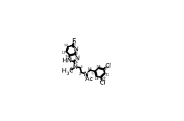 CC(=O)N(CCN(C)c1nc2nc(F)ccc2[nH]1)Cc1cc(Cl)cc(Cl)c1